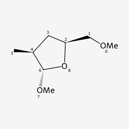 COC[C@@H]1C[C@H](C)[C@@H](OC)O1